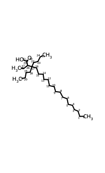 CCCCCCCCCCCCCCCCCC(CCCC)(CCCC)[C](CC)C(=O)O